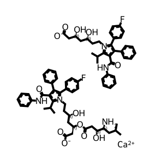 CC(C)C[C@H](N)[C@@H](O)CC(=O)O[C@@H](CC(=O)[O-])C[C@H](O)CCn1c(-c2ccc(F)cc2)c(-c2ccccc2)c(C(=O)Nc2ccccc2)c1C(C)C.CC(C)c1c(C(=O)Nc2ccccc2)c(-c2ccccc2)c(-c2ccc(F)cc2)n1CC[C@@H](O)C[C@@H](O)CC(=O)[O-].[Ca+2]